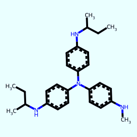 CCC(C)Nc1ccc(N(c2ccc(NC)cc2)c2ccc(NC(C)CC)cc2)cc1